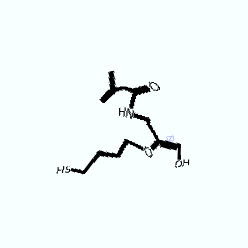 C=C(C)C(=O)NC/C(=C/O)OCCCCS